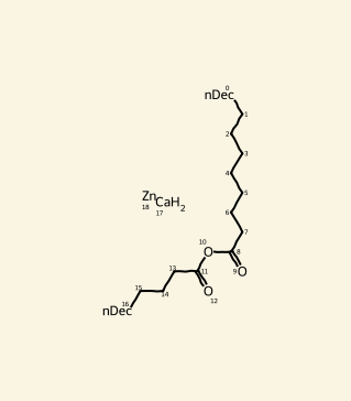 CCCCCCCCCCCCCCCCCC(=O)OC(=O)CCCCCCCCCCCCC.[CaH2].[Zn]